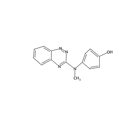 CN(c1ccc(O)cc1)c1nnc2ccccc2n1